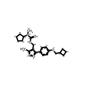 Cc1noc(-c2ccc(OCC3CCC3)cc2)c1COC(=O)N(C)C1CCCC1